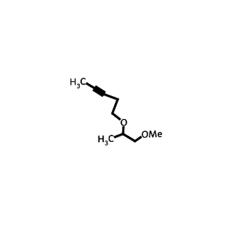 CC#CCCOC(C)COC